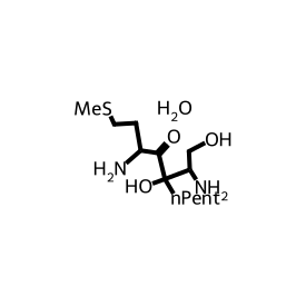 CCCCCC(O)(C(=O)C(N)CCSC)C(N)CO.O